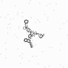 COCOc1cc(N2CCc3c(nc(OCCN4CCCC(F)C4)nc3N3CCN(C(=O)OCc4ccccc4)CC3)C2)c2ccccc2c1